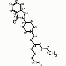 CCCCC(CCCC)CCN1CCC(N2Cc3ccccc3C2=O)CC1